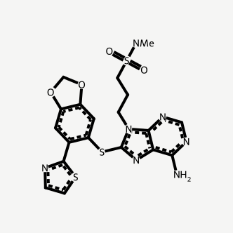 CNS(=O)(=O)CCCn1c(Sc2cc3c(cc2-c2nccs2)OCO3)nc2c(N)ncnc21